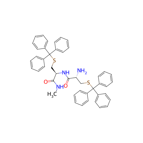 CNC(=O)[C@@H](CSC(c1ccccc1)(c1ccccc1)c1ccccc1)NC(=O)[C@H](N)CSC(c1ccccc1)(c1ccccc1)c1ccccc1